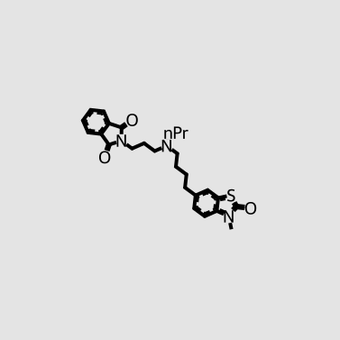 CCCN(CCCCc1ccc2c(c1)sc(=O)n2C)CCCN1C(=O)c2ccccc2C1=O